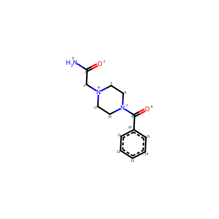 NC(=O)CN1CCN(C(=O)c2ccccc2)CC1